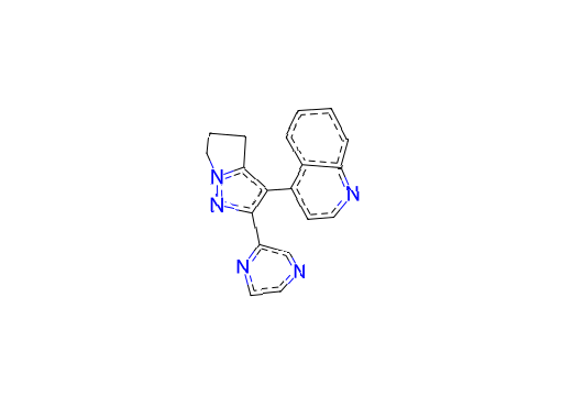 c1ccc2c(-c3c(-c4cnccn4)nn4c3CCC4)ccnc2c1